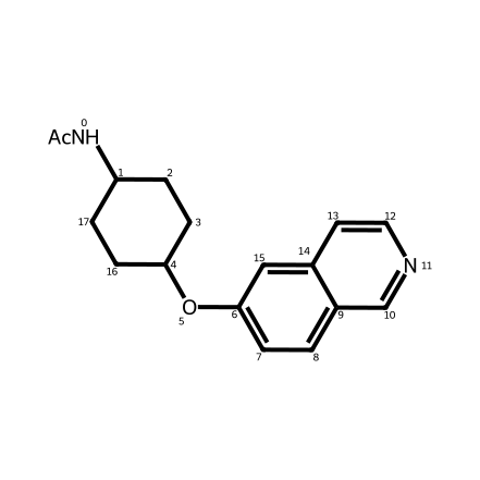 CC(=O)NC1CCC(Oc2ccc3cnccc3c2)CC1